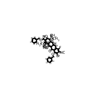 [C-]#[N+]c1c(F)c2c(c(OCc3ccccc3)c1Br)C(=O)C1=C(O)[C@]3(O[Si](C)(C)C(C)(C)C)C(=O)c4c(OCc5ccccc5)noc4[C@@H](N(C)C)[C@@H]3C[C@@H]1C2